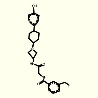 O=C(CNC(=O)c1cccc(CF)c1)NC1CN(C2CCC(c3ccc(O)cn3)CC2)C1